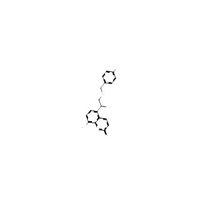 Cc1ccc(CNCC(O)c2ccc(O)c3[nH]c(=O)ccc23)cc1